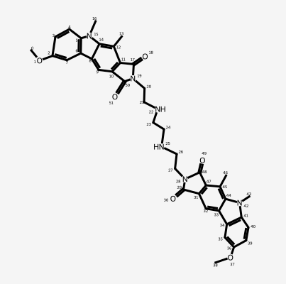 COc1ccc2c(c1)c1cc3c(c(C)c1n2C)C(=O)N(CCNCCNCCN1C(=O)c2cc4c5cc(OC)ccc5n(C)c4c(C)c2C1=O)C3=O